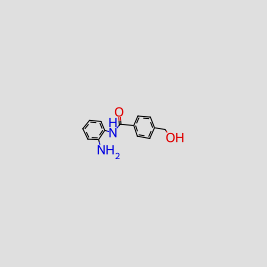 Nc1ccccc1NC(=O)c1ccc(CO)cc1